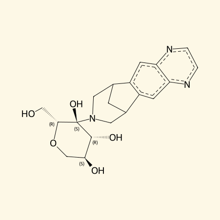 OC[C@H]1OC[C@H](O)[C@@H](O)[C@@]1(O)N1CC2CC(C1)c1cc3nccnc3cc12